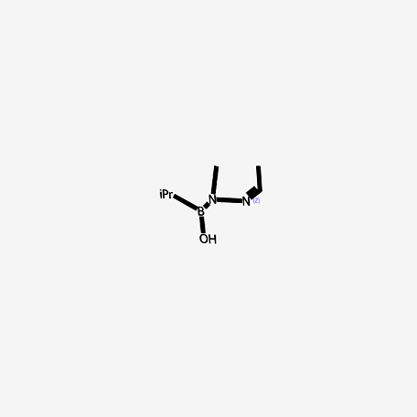 C/C=N\N(C)B(O)C(C)C